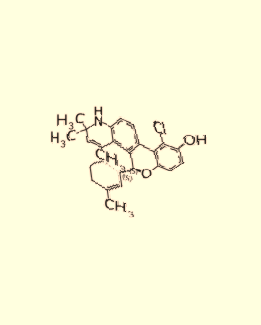 CC1=C[C@@H]([C@@H]2Oc3ccc(O)c(Cl)c3-c3ccc4c(c32)C(C)=CC(C)(C)N4)CCC1